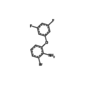 Nc1c(Br)cccc1Oc1cc(F)cc(F)c1